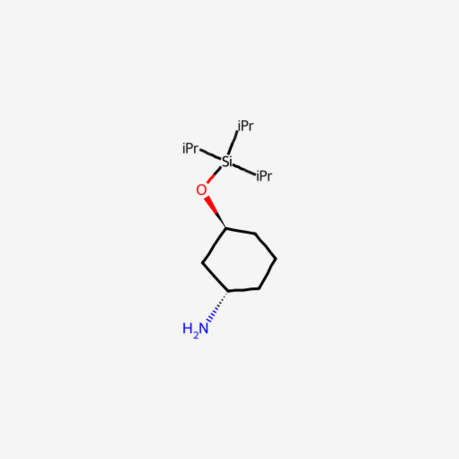 CC(C)[Si](O[C@H]1CCC[C@H](N)C1)(C(C)C)C(C)C